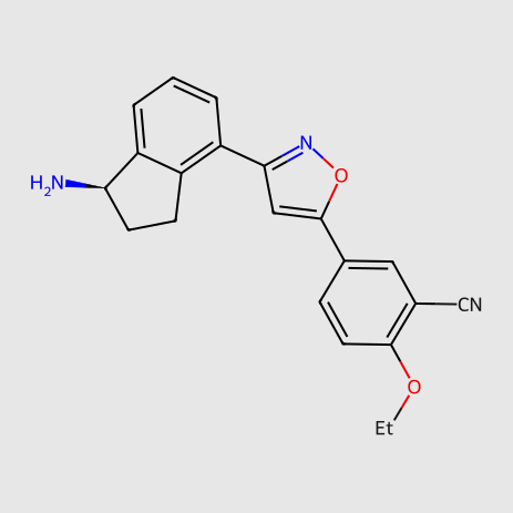 CCOc1ccc(-c2cc(-c3cccc4c3CC[C@H]4N)no2)cc1C#N